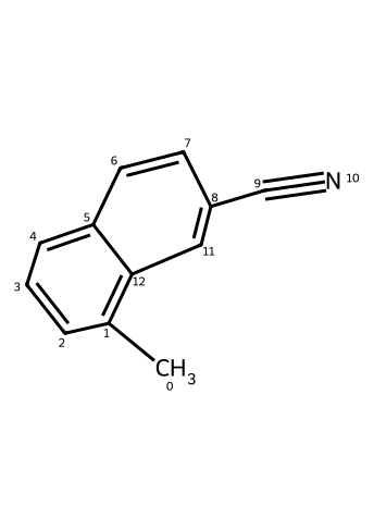 Cc1cccc2ccc(C#N)cc12